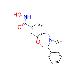 CC(=O)N1Cc2ccc(C(=O)NO)cc2OCC1c1ccccc1